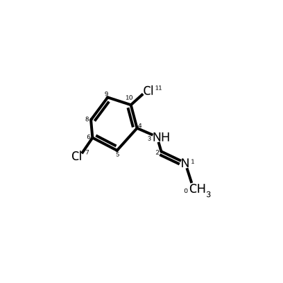 CN=CNc1cc(Cl)ccc1Cl